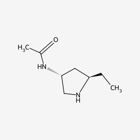 CC[C@@H]1C[C@@H](NC(C)=O)CN1